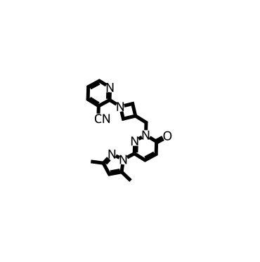 Cc1cc(C)n(-c2ccc(=O)n(CC3CN(c4ncccc4C#N)C3)n2)n1